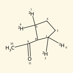 [2H]C1([2H])CCC([2H])([2H])C1C(C)=O